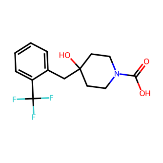 O=C(O)N1CCC(O)(Cc2ccccc2C(F)(F)F)CC1